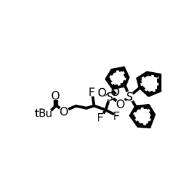 CC(C)(C)C(=O)OCCC(F)C(F)(F)S(=O)(=O)OS(c1ccccc1)(c1ccccc1)c1ccccc1